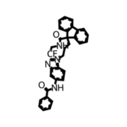 O=C(Nc1ccc2c(c1)ncn2CCCC1(C(=O)NCC(F)(F)F)c2ccccc2-c2ccccc21)c1ccccc1